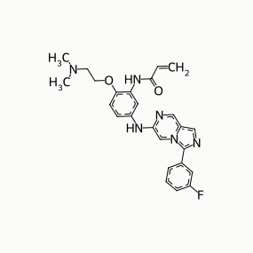 C=CC(=O)Nc1cc(Nc2cn3c(-c4cccc(F)c4)ncc3cn2)ccc1OCCN(C)C